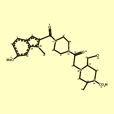 COc1ccc2cc(C(=O)N3CCN(C(=O)CN4CC(C)N(C(=O)O)CC4CCl)CC3)n(C)c2c1